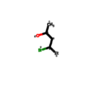 CCC(Br)CC(C)[O]